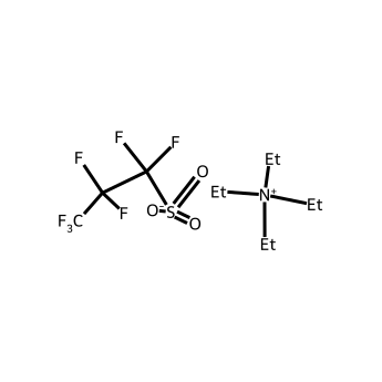 CC[N+](CC)(CC)CC.O=S(=O)([O-])C(F)(F)C(F)(F)C(F)(F)F